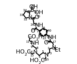 CCN(CCN(CCN(CCNCC(=O)O)CC(=O)O)CC(=O)O)CC(=O)Nc1ccc(C(=O)NCC(=O)N2CCC[C@H]2B(O)O)cc1